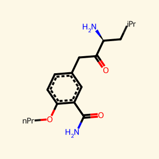 CCCOc1ccc(CC(=O)[C@@H](N)CC(C)C)cc1C(N)=O